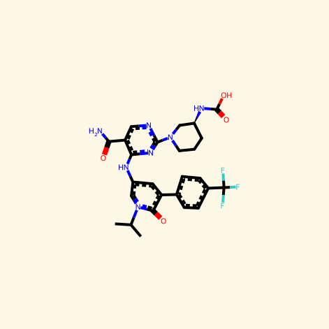 CC(C)n1cc(Nc2nc(N3CCC[C@H](NC(=O)O)C3)ncc2C(N)=O)cc(-c2ccc(C(F)(F)F)cc2)c1=O